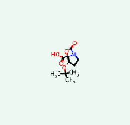 CC(C)(C)O[C@H]1CCN2C(=O)O[C@@]12C(=O)O